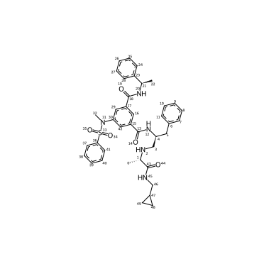 C[C@H](NC[C@H](Cc1ccccc1)NC(=O)c1cc(C(=O)N[C@H](C)c2ccccc2)cc(N(C)S(=O)(=O)c2ccccc2)c1)C(=O)NCC1CC1